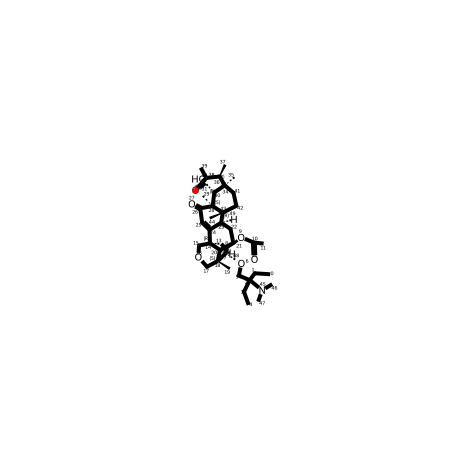 CCC(CC)(CO[C@H]1[C@H](OC(C)=O)C[C@@]23COC[C@]1(C)[C@@H]2CC[C@H]1C3=CC(=O)[C@@]2(C)[C@H](C(=O)O)[C@@](C)([C@H](C)C(C)C)CC[C@]12C)N(C)C